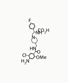 COc1cc(N)c(Cl)cc1C(=O)NCC1CCN(CC(NC(=O)O)c2ccc(F)cc2)CC1